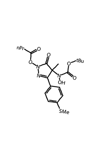 CCCC(=O)ON1N=C(c2ccc(SC)cc2)C(C)(N(O)C(=O)OC(C)(C)C)C1=O